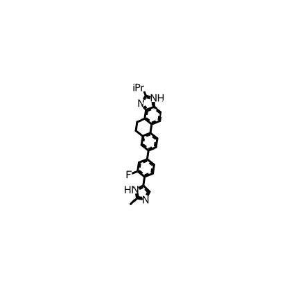 Cc1ncc(-c2ccc(-c3ccc4c(c3)CCc3c-4ccc4[nH]c(C(C)C)nc34)cc2F)[nH]1